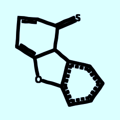 S=C1C=CC=C2Oc3ccccc3C12